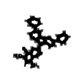 Cc1cn(C)c2ccc(-n3c4ccc(-c5ccccc5)cc4c4cc(-c5ccccc5)ccc43)cc2c1=O